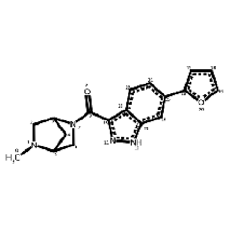 CN1CC2CC1CN2C(=O)c1n[nH]c2cc(-c3ccco3)ccc12